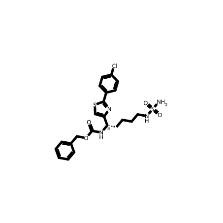 NS(=O)(=O)NCCCC[C@H](NC(=O)OCc1ccccc1)c1csc(-c2ccc(Cl)cc2)n1